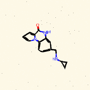 O=c1[nH]c2cc(CNC3CC3)ccc2n2cccc12